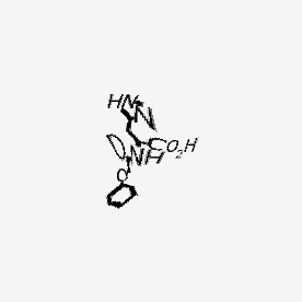 O=C(COc1ccccc1)N[C@@H](Cc1c[nH]cn1)C(=O)O